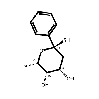 C[C@@H]1O[C@](S)(c2ccccc2)C[C@H](O)[C@@H]1O